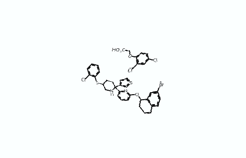 Clc1ccccc1SC1CCC(c2ccsc2)(c2cccc(OC3CCCc4ccc(Br)cc43)n2)NC1.O=C(O)COc1ccc(Cl)cc1Cl